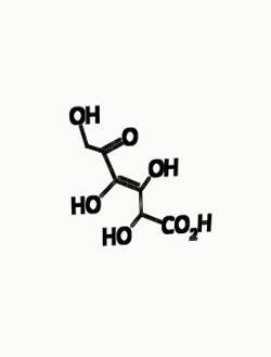 O=C(CO)/C(O)=C(\O)C(O)C(=O)O